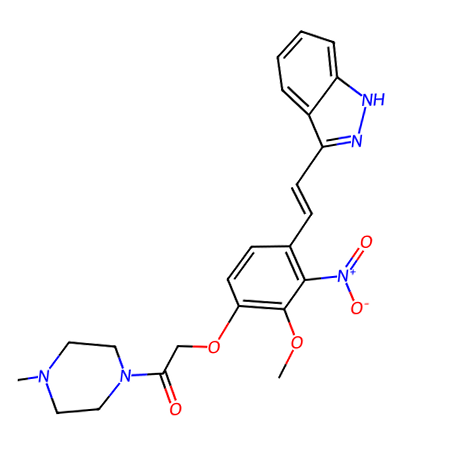 COc1c(OCC(=O)N2CCN(C)CC2)ccc(/C=C/c2n[nH]c3ccccc23)c1[N+](=O)[O-]